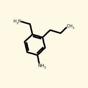 CCCc1cc(N)ccc1CN